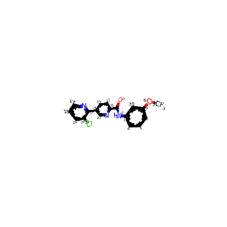 O=C(Nc1cccc(OC(F)(F)F)c1)c1ccc(-c2ncccc2Cl)cn1